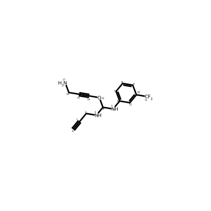 C#CCNC(Nc1cccc(C(F)(F)F)c1)OC#CCN